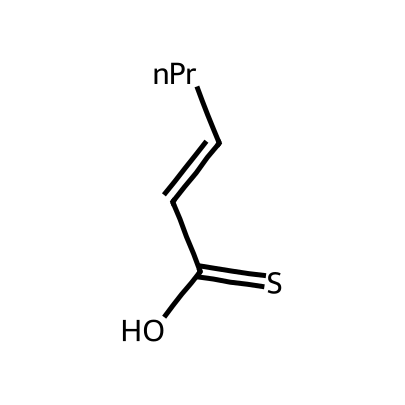 CCCC=CC(O)=S